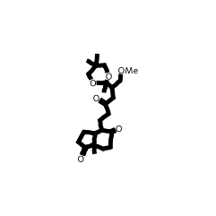 COCC(CC(=O)CCC1C(=O)CCC2(C)C(=O)CCC12)C1(C)OCC(C)(C)CO1